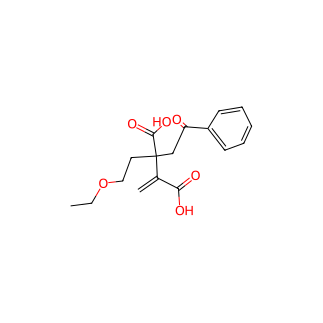 C=C(C(=O)O)C(CCOCC)(CC(=O)c1ccccc1)C(=O)O